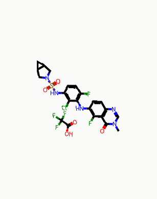 Cn1cnc2ccc(Nc3c(F)ccc(NS(=O)(=O)N4CC5CC5C4)c3Cl)c(F)c2c1=O.O=C(O)C(F)(F)F